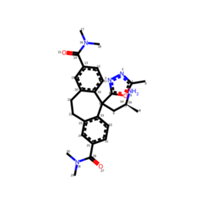 Cc1nnc(C2(C[C@H](C)N)c3ccc(C(=O)N(C)C)cc3CCc3cc(C(=O)N(C)C)ccc32)o1